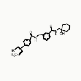 C/C=C\C(=C/CC)c1ccc(C(=O)NCc2cccc(C(=O)NCC3(O)CCCCC3)c2)cc1